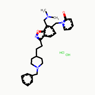 CN(C)Cc1c(Cn2ccccc2=O)ccc2c(CCC3CCN(Cc4ccccc4)CC3)noc12.Cl.Cl